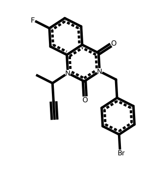 C#CC(C)n1c(=O)n(Cc2ccc(Br)cc2)c(=O)c2ccc(F)cc21